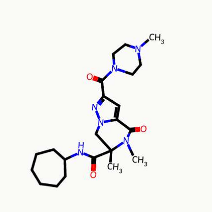 CN1CCN(C(=O)c2cc3n(n2)CC(C)(C(=O)NC2CCCCCC2)N(C)C3=O)CC1